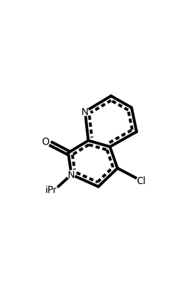 CC(C)n1cc(Cl)c2cccnc2c1=O